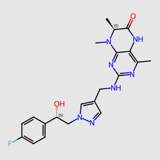 Cc1nc(NCc2cnn(C[C@@H](O)c3ccc(F)cc3)c2)nc2c1NC(=O)[C@H](C)N2C